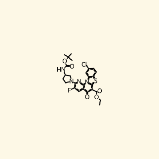 CCOC(=O)c1c(=O)c2cc(F)c(N3CCC(NC(=O)OC(C)(C)C)C3)nc2n2c1sc1ccc(Cl)cc12